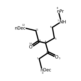 CCCCCCCCCCCC(=O)C(CCNCCC)C(=O)CCCCCCCCCCC